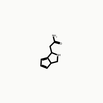 NC(=O)CC1NCC2C=CC=C21